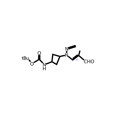 C=NN(/C=C(\C)C=O)C1CC(NC(=O)OC(C)(C)C)C1